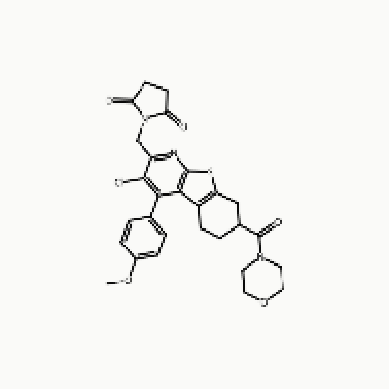 COc1ccc(-c2c(Cl)c(CN3C(=O)CCC3=O)nc3sc4c(c23)CCC(C(=O)N2CCOCC2)C4)cc1